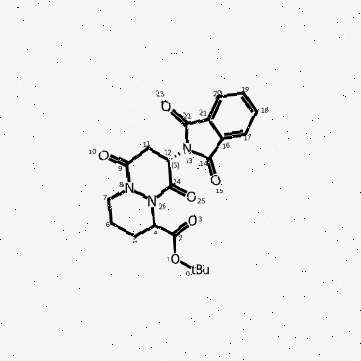 CC(C)(C)OC(=O)C1CCCN2C(=O)C[C@H](N3C(=O)c4ccccc4C3=O)C(=O)N12